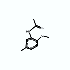 COc1ccc(C)cc1NC(C)=N